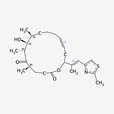 C/C(=C\c1csc(C)n1)C1C/C=C\CCC[C@H](C)[C@H](O)[C@@H](C)C(=O)[C@H](C)CCC(=O)O1